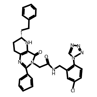 O=C(Cn1c(-c2ccccc2)nc2c(c1=O)N[C@@H](CCc1ccccc1)CC2)NCc1cc(Cl)ccc1-n1cnnn1